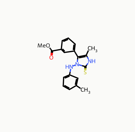 COC(=O)c1cccc(-c2c(C)[nH]c(=S)n2Nc2cccc(C)c2)c1